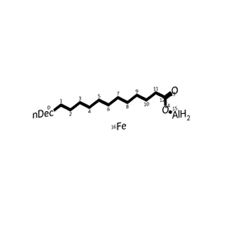 CCCCCCCCCCCCCCCCCCCCCC(=O)[O][AlH2].[Fe]